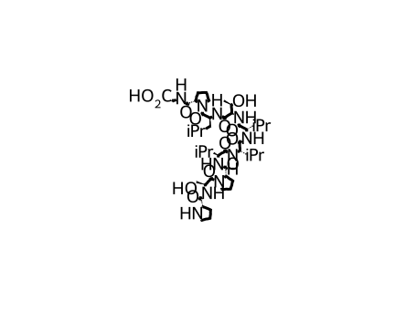 CC(C)C[C@H](NC(=O)[C@@H](NC(=O)[C@@H](NC(=O)[C@@H](NC(=O)[C@@H](NC(=O)[C@@H]1CCCN1C(=O)[C@H](CO)NC(=O)[C@@H]1CCCN1)C(C)C)C(C)C)C(C)C)[C@@H](C)O)C(=O)N1CCC[C@H]1C(=O)NCC(=O)O